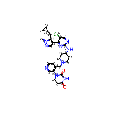 Cn1ncc(-c2nc(NC3CCN(Cc4ccncc4N4CCC(=O)NC4=O)CC3)ncc2Cl)c1CC1CC1